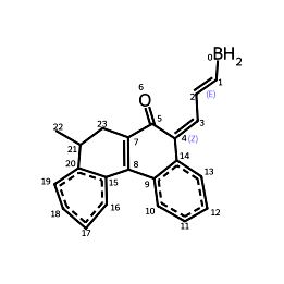 B/C=C/C=C1\C(=O)C2=C(c3ccccc31)c1ccccc1C(C)C2